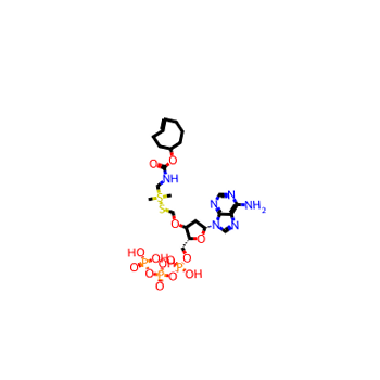 CS(C)(CNC(=O)OC1CC/C=C/CCC1)SCOC1C[C@H](n2cnc3c(N)ncnc32)O[C@@H]1COP(=O)(O)OP(=O)(O)OP(=O)(O)O